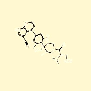 Cc1cc(-c2ccnc3[nH]cc(C#N)c23)cc(F)c1[C@@]1(O)[C@H](C)CN(C(=O)[C@@H](CO)N(C)C)C[C@@H]1C